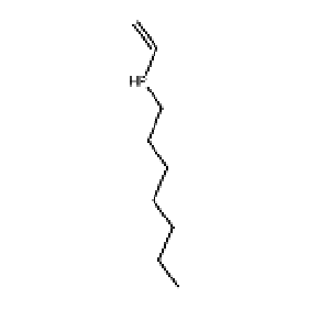 C=CPCCCCCCC